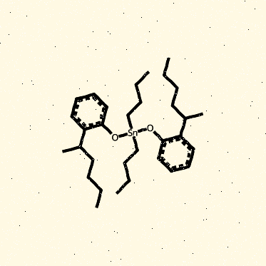 CCCCC(C)c1ccccc1[O][Sn]([CH2]CCC)([CH2]CCC)[O]c1ccccc1C(C)CCCC